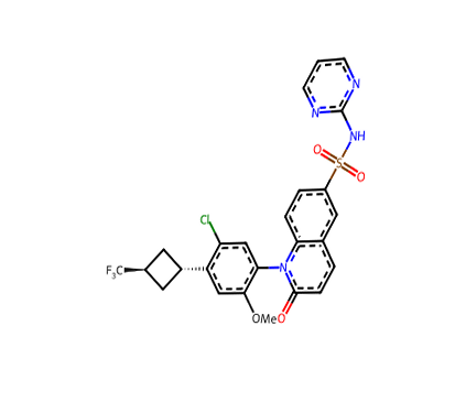 COc1cc([C@H]2C[C@H](C(F)(F)F)C2)c(Cl)cc1-n1c(=O)ccc2cc(S(=O)(=O)Nc3ncccn3)ccc21